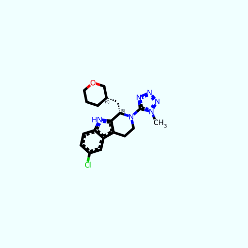 Cn1nnnc1N1CCc2c([nH]c3ccc(Cl)cc23)[C@@H]1C[C@@H]1CCCOC1